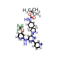 CC(C)(C)OC(=O)NC1CCC2(CC1)CCN(c1cc(Nc3cc(OC(F)(F)F)ccn3)nc(-c3cccnc3)n1)C2